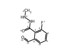 CNNC(=O)c1c(F)cccc1C=O